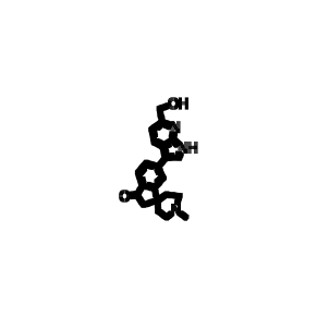 CN1CCC2(CC1)CC(=O)c1ccc(-c3c[nH]c4nc(CO)ccc34)cc12